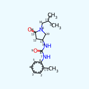 Cc1ccccc1NC(=O)NC1CC(=O)N(CC(C)C)C1